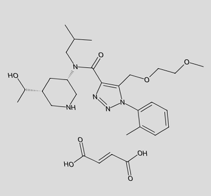 COCCOCc1c(C(=O)N(CC(C)C)[C@@H]2CNC[C@H](C(C)O)C2)nnn1-c1ccccc1C.O=C(O)C=CC(=O)O